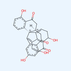 O=C1C=CC2=C3c4cc(O)cc(O)c4C(=O)C[C@@H]4CC(=O)c5c(O)cccc5[C@]34C3=CCC(O)C1=C32